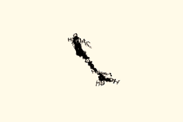 CC(=O)O[N+]1(c2cccc(CCCOCCCCCCNC[C@@H](O)c3ccc(O)c(CO)c3)c2)CC(=O)NC1=O